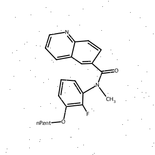 CCCCCOc1cccc(N(C)C(=O)c2ccc3ncccc3c2)c1F